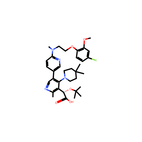 COc1cc(F)ccc1OCCN(C)c1ccc(-c2cnc(C)c([C@H](OC(C)(C)C)C(=O)O)c2N2CCC(C)(C)CC2)cn1